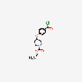 CCOC(=O)N1CCC(Oc2ccc(C(=O)Cl)cc2)CC1